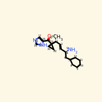 C[C@H](/C=C/[C@@H](N)CC1CCCCC1)C1(C(=O)c2cnc[nH]2)CC1